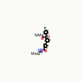 CNC(=O)C1c2cc(-c3ccc(C(=O)NCCOC)cc3)ccc2OC1c1ccc(F)cc1